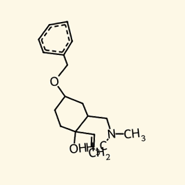 C=CC1(O)CCC(OCc2ccccc2)CC1CN(C)C